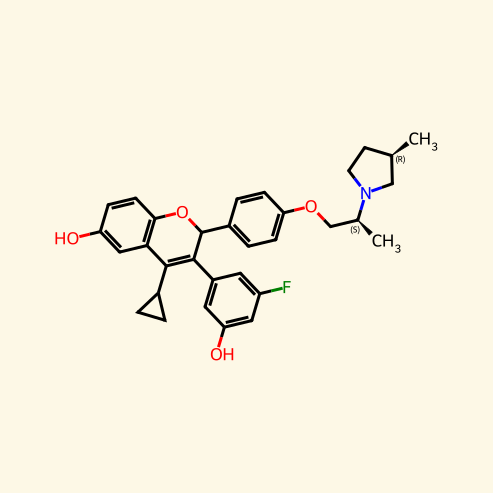 C[C@@H]1CCN([C@@H](C)COc2ccc(C3Oc4ccc(O)cc4C(C4CC4)=C3c3cc(O)cc(F)c3)cc2)C1